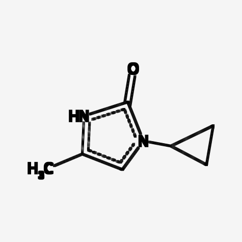 Cc1cn(C2CC2)c(=O)[nH]1